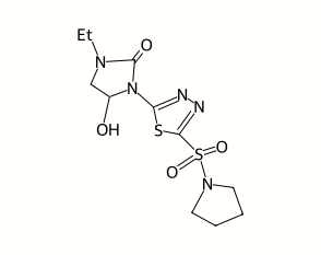 CCN1CC(O)N(c2nnc(S(=O)(=O)N3CCCC3)s2)C1=O